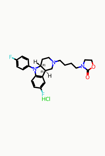 Cl.O=C1OCCN1CCCCN1CC[C@@H]2[C@@H](C1)c1cc(F)ccc1N2c1ccc(F)cc1